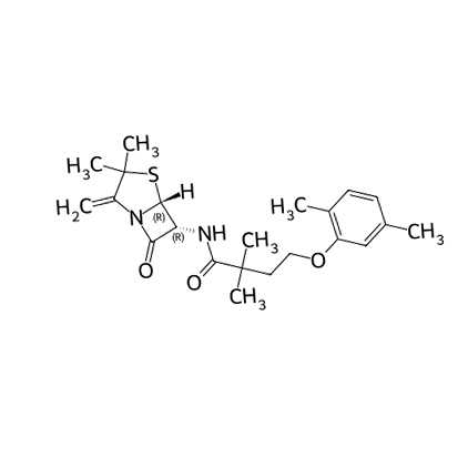 C=C1N2C(=O)[C@@H](NC(=O)C(C)(C)CCOc3cc(C)ccc3C)[C@H]2SC1(C)C